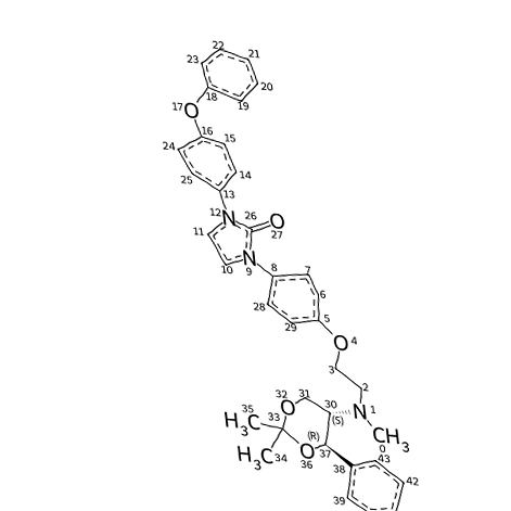 CN(CCOc1ccc(-n2ccn(-c3ccc(Oc4ccccc4)cc3)c2=O)cc1)[C@H]1COC(C)(C)O[C@@H]1c1ccccc1